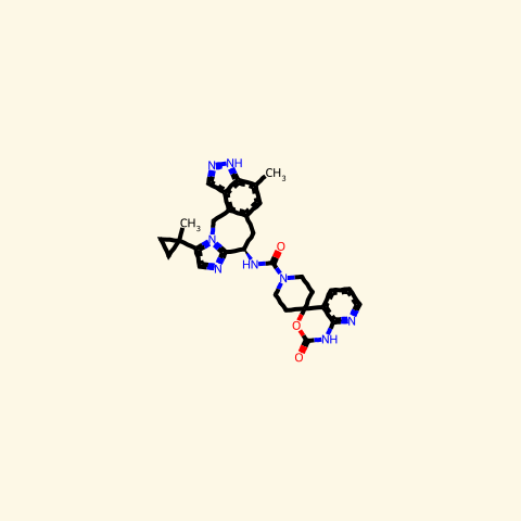 Cc1cc2c(c3cn[nH]c13)Cn1c(C3(C)CC3)cnc1[C@H](NC(=O)N1CCC3(CC1)OC(=O)Nc1ncccc13)C2